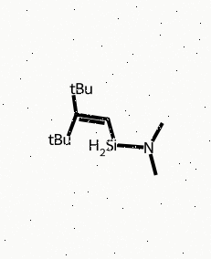 CN(C)[SiH2]C=C(C(C)(C)C)C(C)(C)C